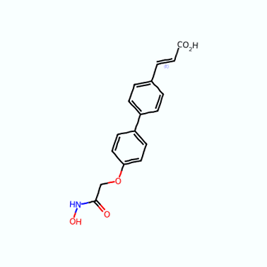 O=C(O)/C=C/c1ccc(-c2ccc(OCC(=O)NO)cc2)cc1